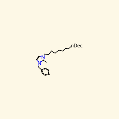 CCCCCCCCCCCCCCCCCCN1C=CN(Cc2ccccc2)C1C